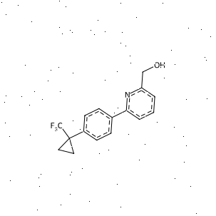 OCc1cccc(-c2ccc(C3(C(F)(F)F)CC3)cc2)n1